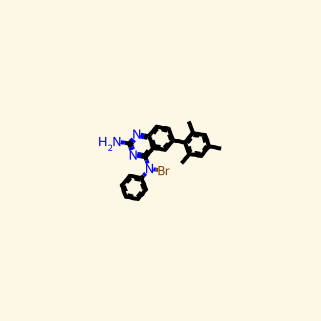 Cc1cc(C)c(-c2ccc3nc(N)nc(N(Br)c4ccccc4)c3c2)c(C)c1